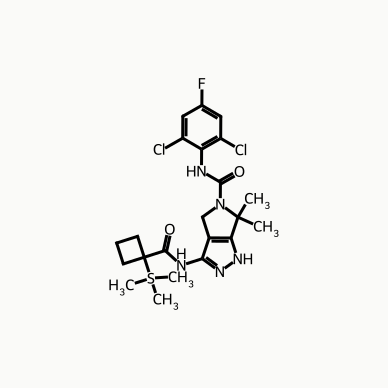 CC1(C)c2[nH]nc(NC(=O)C3(S(C)(C)C)CCC3)c2CN1C(=O)Nc1c(Cl)cc(F)cc1Cl